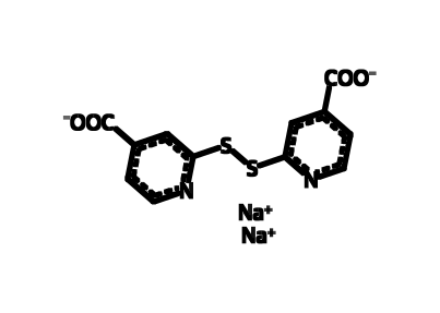 O=C([O-])c1ccnc(SSc2cc(C(=O)[O-])ccn2)c1.[Na+].[Na+]